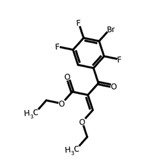 CCOC=C(C(=O)OCC)C(=O)c1cc(F)c(F)c(Br)c1F